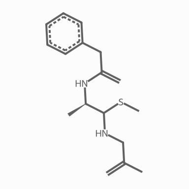 C=C(C)CNC(SC)[C@@H](C)NC(=C)Cc1ccccc1